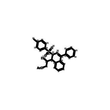 CCC(COC(C)=O)C1c2ccccc2C(c2ccccc2)=NN1S(=O)(=O)c1ccc(C)cc1